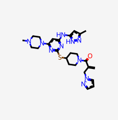 C=C(Cn1cccn1)C(=O)N1CCC(Sc2nc(Nc3cc(C)n[nH]3)cc(N3CCN(C)CC3)n2)CC1